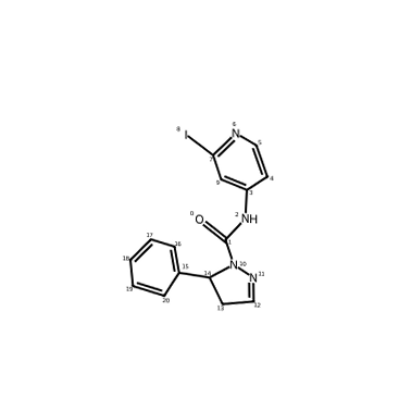 O=C(Nc1ccnc(I)c1)N1N=CCC1c1ccccc1